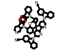 N#Cc1ccc2c(c1)c1ccccc1n2-c1cnc2c(c1)C1(c3cc(-n4c5ccccc5c5cc(C#N)ccc54)cnc3-2)c2cccc(-n3c4ccccc4c4ccccc43)c2Oc2c(-n3c4ccccc4c4ccncc43)cccc21